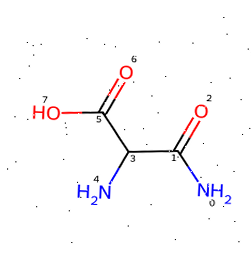 NC(=O)C(N)C(=O)O